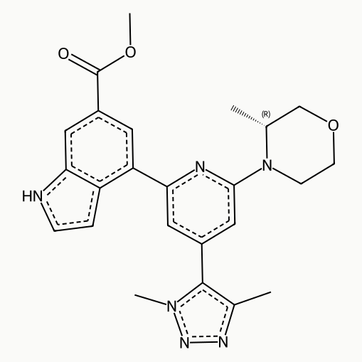 COC(=O)c1cc(-c2cc(-c3c(C)nnn3C)cc(N3CCOC[C@H]3C)n2)c2cc[nH]c2c1